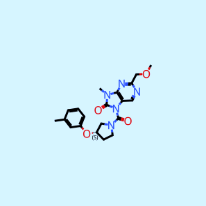 COCc1ncc2c(n1)n(C)c(=O)n2C(=O)N1CC[C@H](Oc2cccc(C)c2)C1